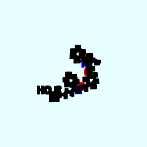 CCC(CCCC(=NOCc1cccc(OCc2nc(-c3ccccc3)oc2C)c1)c1ccccc1)C(=O)O